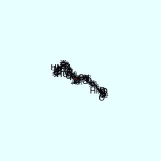 Cc1c(-c2ccc(N3CCc4cccc(C(=O)Nc5nc6ccccc6s5)c4C3)nc2C(=O)O)cnn1CC12CC3(C)CC(C)(C1)CC(OCCN(C)C(=O)OCc1[c]cc(CCCNC(=O)CN4C(=O)C=CC4=O)cc1)(C3)C2